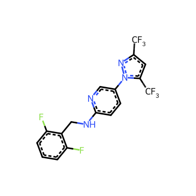 Fc1cccc(F)c1CNc1ccc(-n2nc(C(F)(F)F)cc2C(F)(F)F)cn1